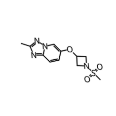 Cc1nc2ccc(OC3CN(S(C)(=O)=O)C3)cn2n1